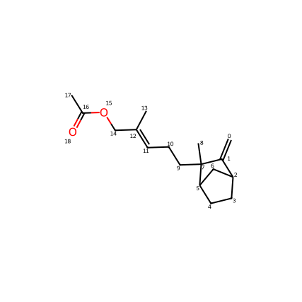 C=C1C2CCC(C2)C1(C)CC/C=C(\C)COC(C)=O